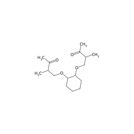 CC(=O)C(C)COC1CCCCC1OCC(C)C(C)=O